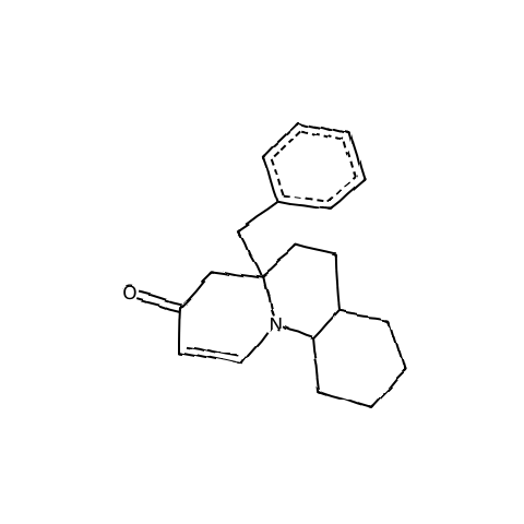 O=C1C=CN2C3CCCCC3CCC2(Cc2ccccc2)C1